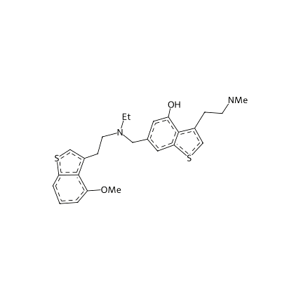 CCN(CCc1csc2cccc(OC)c12)Cc1cc(O)c2c(CCNC)csc2c1